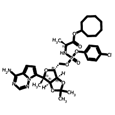 C[C@H](NP(=O)(OC[C@H]1O[C@@](C)(c2ccc3c(N)ncnn23)[C@@H]2OC(C)(C)O[C@@H]21)Oc1ccc(Cl)cc1)C(=O)OC1CCCCCCC1